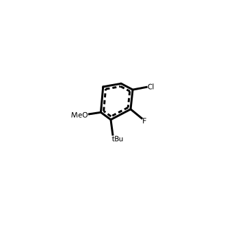 COc1ccc(Cl)c(F)c1C(C)(C)C